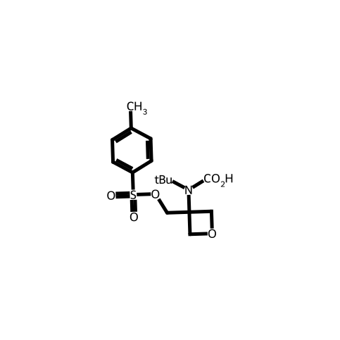 Cc1ccc(S(=O)(=O)OCC2(N(C(=O)O)C(C)(C)C)COC2)cc1